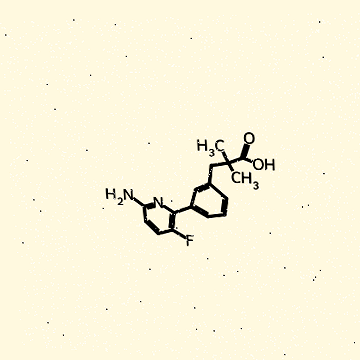 CC(C)(Cc1cccc(-c2nc(N)ccc2F)c1)C(=O)O